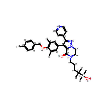 Cc1cc(-c2c(-c3ccncc3)nn3c2C(=O)N(CCCC(C)(C)[Si](C)(C)O)CC3)cc(C)c1OCc1ccc(C(C)C)cc1